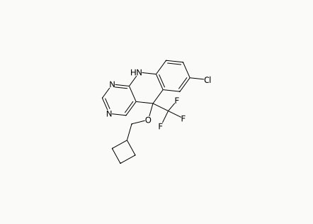 FC(F)(F)C1(OCC2CCC2)c2cc(Cl)ccc2Nc2ncncc21